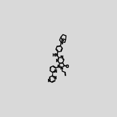 C=CCn1c(=O)c2cnc(Nc3ccc(N4CC5CCC(C4)N5C)cc3)nc2n1-c1cccc(-c2cnccn2)n1